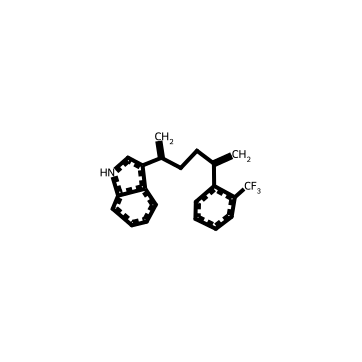 C=C(CCC(=C)c1c[nH]c2ccccc12)c1ccccc1C(F)(F)F